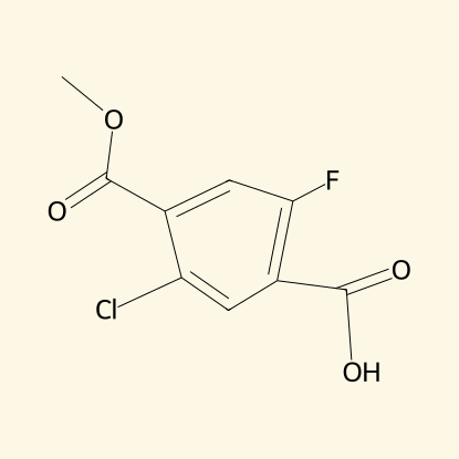 COC(=O)c1cc(F)c(C(=O)O)cc1Cl